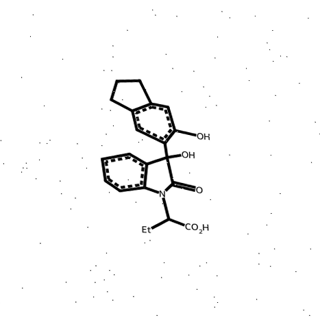 CCC(C(=O)O)N1C(=O)C(O)(c2cc3c(cc2O)CCC3)c2ccccc21